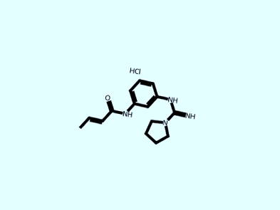 CC=CC(=O)Nc1cccc(NC(=N)N2CCCC2)c1.Cl